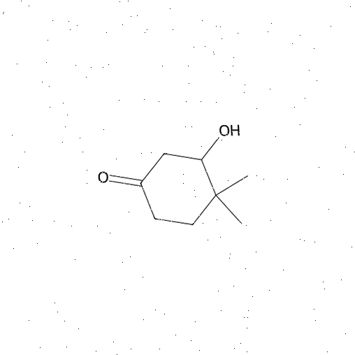 CC1(C)CCC(=O)CC1O